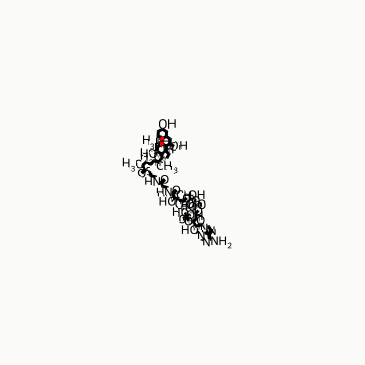 CC(CCC[C@@H](C)[C@H]1CC[C@H]2[C@@H]3C(O)CC4CC(O)CC[C@]4(C)[C@H]3CC(O)[C@]12C)C(=O)SCCNC(=O)CCNC(=O)[C@H](O)C(C)(C)COP(=O)(O)OP(=O)(O)OC[C@H]1O[C@@H](n2cnc3c(N)ncnc32)[C@H](O)[C@@H]1OP(=O)(O)O